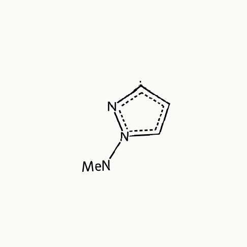 CNn1cc[c]n1